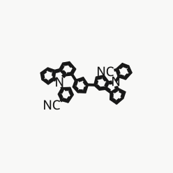 N#Cc1cccc(-n2c3ccccc3c3cccc(-c4cccc(-c5ccc6c(c5)c5ccccc5n6-c5ccccc5C#N)c4)c32)c1